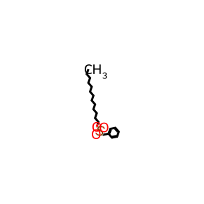 CCCCCCCCCCCCCOS(=O)(=O)Cc1ccccc1